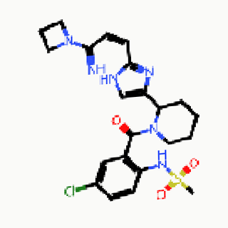 CS(=O)(=O)Nc1ccc(Cl)cc1C(=O)N1CCCCC1c1c[nH]c(/C=C\C(=N)N2CCC2)n1